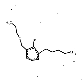 CCCCCc1cccc(CCCCC)c1Br